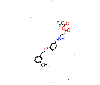 Cc1cccc(CCOc2cccc(CNCCC(=O)OC(=O)C(F)(F)F)c2)c1